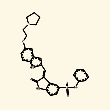 O=C1Nc2ccc(S(=O)(=O)Nc3ccccc3)cc2C1=Cc1cc2cc(OCCN3CCCC3)ccc2[nH]1